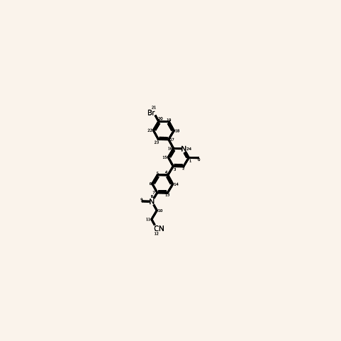 Cc1cc(-c2ccc(N(C)CCC#N)cc2)cc(-c2ccc(Br)cc2)n1